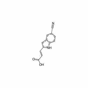 N#Cc1ccc2[nH]c(/C=C/C(=O)O)cc2c1